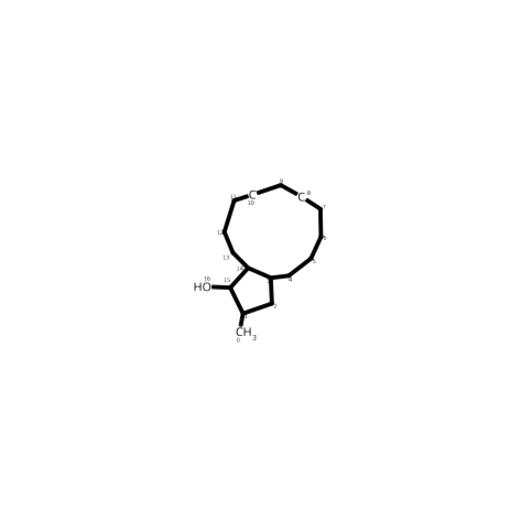 CC1CC2CCCCCCCCCCC2C1O